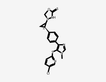 Cn1cnc(-c2ccc([C@H]3CC3N3COC(=S)N3)cc2)c1Sc1ccc(Cl)cn1